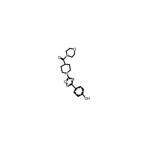 O=C(C1CCN(c2nc(-c3ccc(O)cc3)no2)CC1)N1CCOCC1